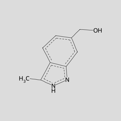 Cc1[nH]nc2cc(CO)ccc12